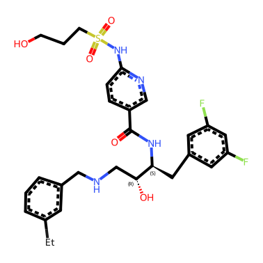 CCc1cccc(CNC[C@@H](O)[C@H](Cc2cc(F)cc(F)c2)NC(=O)c2ccc(NS(=O)(=O)CCCO)nc2)c1